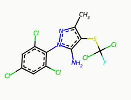 Cc1nn(-c2c(Cl)cc(Cl)cc2Cl)c(N)c1SC(F)(Cl)Cl